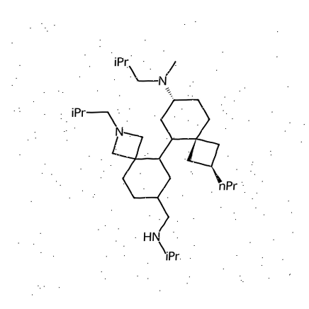 CCC[C@H]1C[C@@]2(CC[C@@H](N(C)CC(C)C)CC2C2CC(CNC(C)C)CCC23CN(CC(C)C)C3)C1